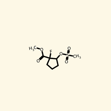 COC(=O)C1(F)CCCC1OS(C)(=O)=O